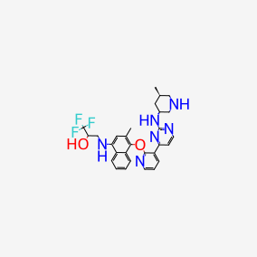 Cc1cc(NCC(O)C(F)(F)F)c2ccccc2c1Oc1ncccc1-c1ccnc(N[C@@H]2CNC[C@H](C)C2)n1